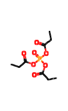 CCC(=O)OP(=O)(OC(=O)CC)OC(=O)CC